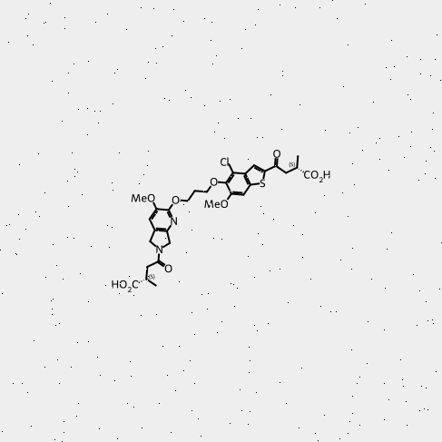 COc1cc2c(nc1OCCCOc1c(OC)cc3sc(C(=O)C[C@H](C)C(=O)O)cc3c1Cl)CN(C(=O)C[C@H](C)C(=O)O)C2